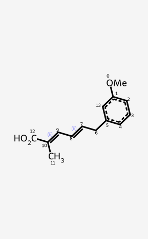 COc1cccc(C/C=C/C=C(\C)C(=O)O)c1